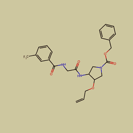 C=CCOC1CN(C(=O)OCc2ccccc2)CC1NC(=O)CNC(=O)c1cccc(C(F)(F)F)c1